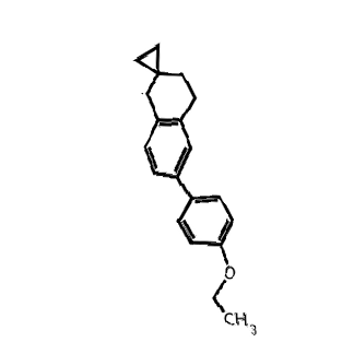 CCOc1ccc(-c2ccc3c(c2)CCC2([CH]3)CC2)cc1